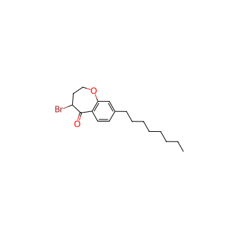 CCCCCCCCc1ccc2c(c1)OCCC(Br)C2=O